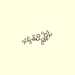 O=C(CNC(=O)c1ccc(C2CC(c3cc(Cl)c(F)c(C(F)(F)F)c3)(C(F)(F)F)ON2)c2ccccc12)NCC(F)(F)F